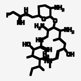 CCC(C)C(N)C(C)C(O)C(=N)NCC(N)C(OC1OC(CNC(=N)CF)CCC1N)C(N)C(C)CC(O)/C=C/NC